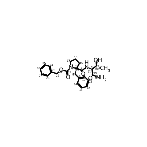 C[C@@H](O)[C@H](NC(=O)[C@@]1(Cc2ccccc2)CCCN1C(=O)OCc1ccccc1)C(N)=O